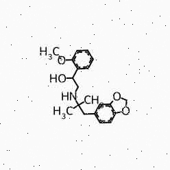 COc1ccccc1C(O)CNC(C)(C)Cc1ccc2c(c1)OCO2